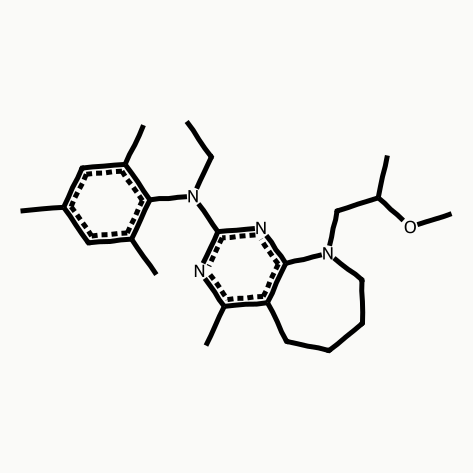 CCN(c1nc(C)c2c(n1)N(CC(C)OC)CCCC2)c1c(C)cc(C)cc1C